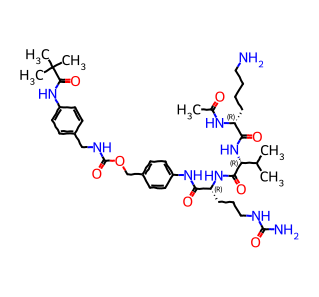 CC(=O)N[C@H](CCCCN)C(=O)N[C@@H](C(=O)N[C@H](CCCNC(N)=O)C(=O)Nc1ccc(COC(=O)NCc2ccc(NC(=O)C(C)(C)C)cc2)cc1)C(C)C